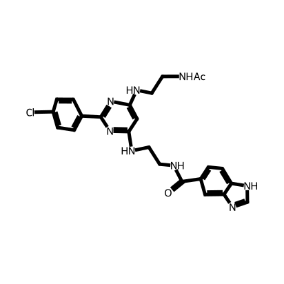 CC(=O)NCCNc1cc(NCCNC(=O)c2ccc3[nH]cnc3c2)nc(-c2ccc(Cl)cc2)n1